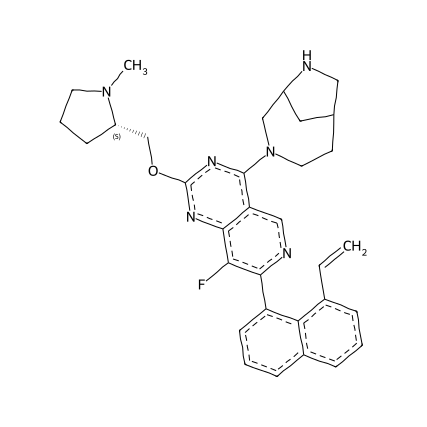 C=Cc1cccc2cccc(-c3ncc4c(N5CCC6CNC(C6)C5)nc(OC[C@@H]5CCCN5C)nc4c3F)c12